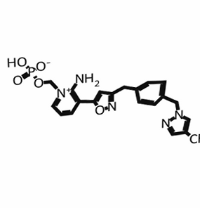 Nc1c(-c2cc(Cc3ccc(Cn4cc(C(F)(F)F)cn4)cc3)no2)ccc[n+]1COP(=O)([O-])O